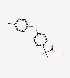 Cc1ccc(Oc2ccc(C(C)(O)C(=O)O)cc2)cc1